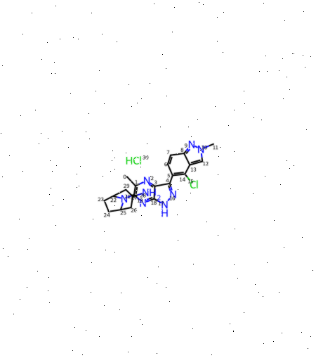 Cc1nc2c(-c3ccc4nn(C)cc4c3Cl)n[nH]c2nc1N1C2CCC1CC(N)C2.Cl